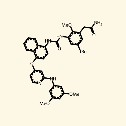 COc1cc(Nc2cc(Oc3ccc(NC(=O)Nc4cc(C(C)(C)C)cc(CC(N)=O)c4OC)c4ccccc34)ccn2)cc(OC)c1